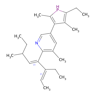 C/C=C(CC)/C(=C/C(C)CC)c1ncc(-c2c(C)[pH]c(CC)c2C)cc1C